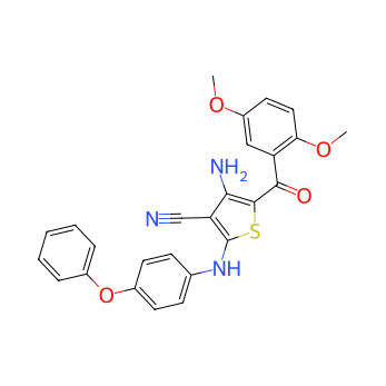 COc1ccc(OC)c(C(=O)c2sc(Nc3ccc(Oc4ccccc4)cc3)c(C#N)c2N)c1